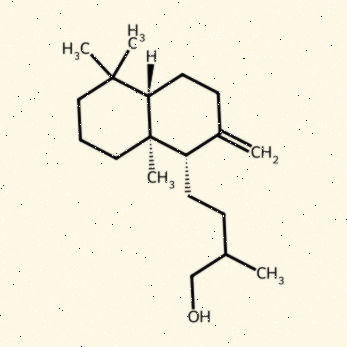 C=C1CC[C@H]2C(C)(C)CCC[C@]2(C)[C@H]1CCC(C)CO